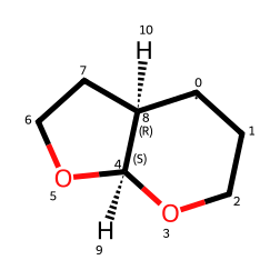 [CH]1CCO[C@H]2OCC[C@@H]12